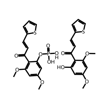 COc1cc(O)c(C(=O)C=Cc2cccs2)c(OC)c1.COc1cc(OC)c(C(=O)C=Cc2cccs2)c(OP(=O)(O)O)c1